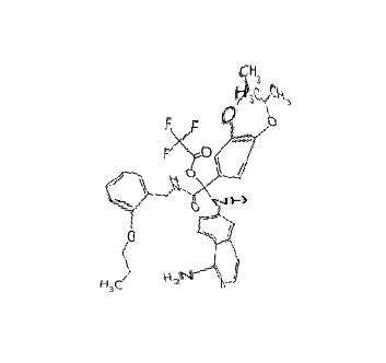 CCCOc1ccccc1CNC(=O)C(Nc1ccc2c(N)nccc2c1)(OC(=O)C(F)(F)F)c1ccc(OC(C)C)c(OCC)c1